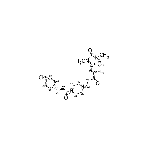 Cn1c(=O)n(C)c2cc(C(=O)CCN3CCN(C(=O)OCc4ccc(Cl)cc4)CC3)ccc21